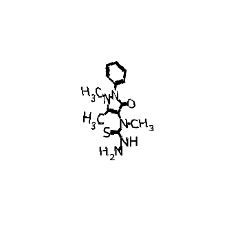 Cc1c(N(C)C(=S)NN)c(=O)n(-c2ccccc2)n1C